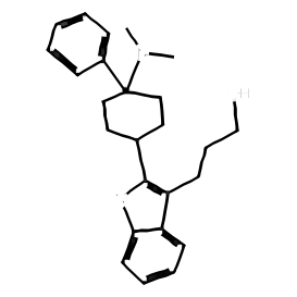 CN(C)C1(c2ccccc2)CCC(c2[nH]c3ccccc3c2CCCO)CC1